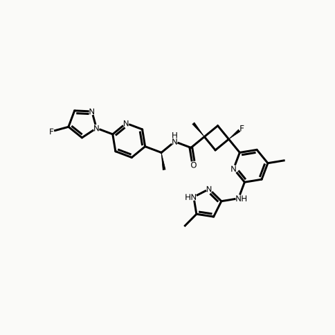 Cc1cc(Nc2cc(C)[nH]n2)nc([C@]2(F)C[C@](C)(C(=O)N[C@@H](C)c3ccc(-n4cc(F)cn4)nc3)C2)c1